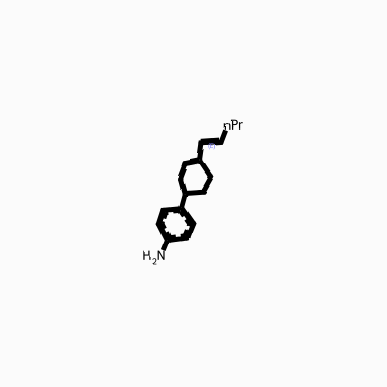 CCC/C=C/C1CCC(c2ccc(N)cc2)CC1